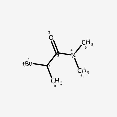 CC(C(=O)N(C)C)C(C)(C)C